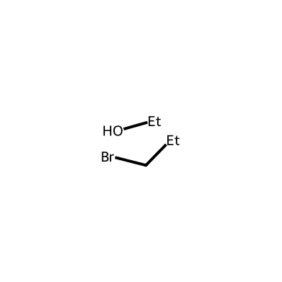 CCCBr.CCO